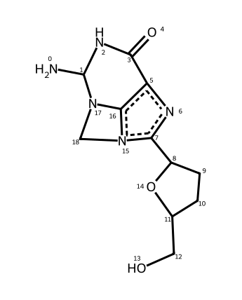 NC1NC(=O)c2nc(C3CCC(CO)O3)n3c2N1C3